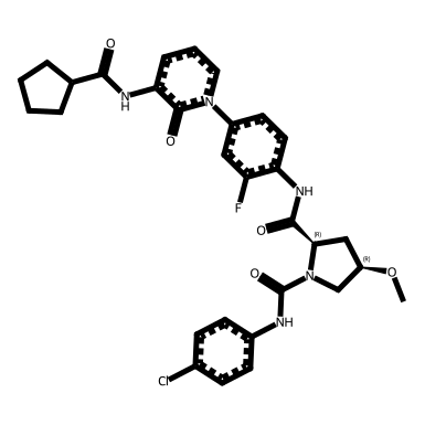 CO[C@@H]1C[C@H](C(=O)Nc2ccc(-n3cccc(NC(=O)C4CCCC4)c3=O)cc2F)N(C(=O)Nc2ccc(Cl)cc2)C1